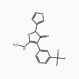 CNC1=C(c2cccc(C(F)(F)F)c2)C(=O)C(c2ccsc2)O1